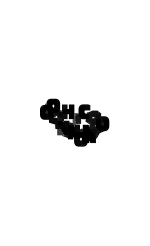 Cc1ccc2c(c1)-c1c(cnn1CC(=O)N1CCN(Cc3ccc4c(c3)OCO4)CC1)CO2